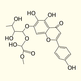 COC(=O)C(O)OC(Oc1cc2oc(-c3ccc(O)cc3)cc(=O)c2c(O)c1O)C(O)C(C)O